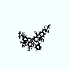 CCOC(=O)CC1CCC(C(=O)N2C(CC)C[C@@H](N(Cc3cc(C(F)(F)F)cc(C(F)(F)F)c3)c3ccc(Br)cn3)C[C@H]2Cc2ccccc2)CC1